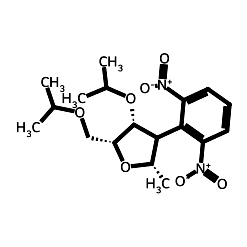 CC(C)OC[C@H]1O[C@@H](C)C(c2c([N+](=O)[O-])cccc2[N+](=O)[O-])[C@H]1OC(C)C